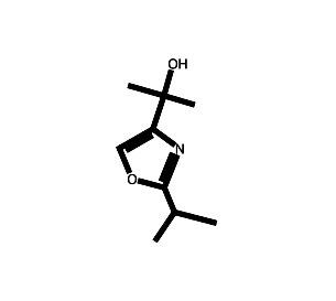 CC(C)c1nc(C(C)(C)O)co1